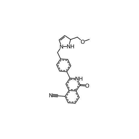 COCC1C=CN(Cc2ccc(-c3cc4c(C#N)cccc4c(=O)[nH]3)cc2)N1